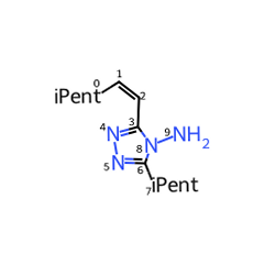 CCCC(C)/C=C\c1nnc(C(C)CCC)n1N